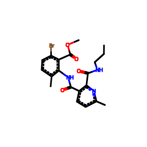 CCCNC(=O)c1nc(C)ccc1C(=O)Nc1c(C)ccc(Br)c1C(=O)OC